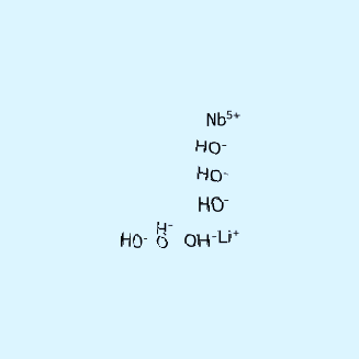 [Li+].[Nb+5].[OH-].[OH-].[OH-].[OH-].[OH-].[OH-]